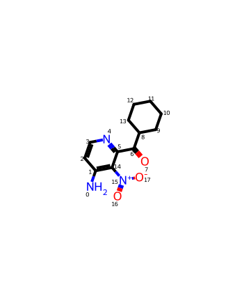 Nc1ccnc(C(=O)C2CCCCC2)c1[N+](=O)[O-]